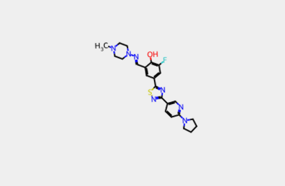 CN1CCN(/N=C/c2cc(-c3nc(-c4ccc(N5CCCC5)nc4)ns3)cc(F)c2O)CC1